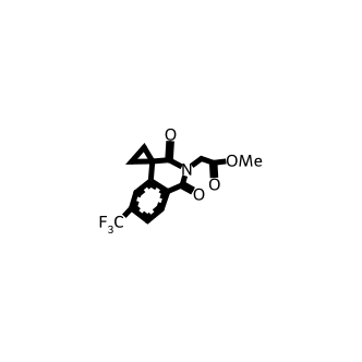 COC(=O)CN1C(=O)c2ccc(C(F)(F)F)cc2C2(CC2)C1=O